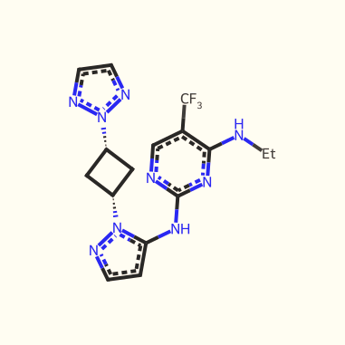 CCNc1nc(Nc2ccnn2[C@H]2C[C@@H](n3nccn3)C2)ncc1C(F)(F)F